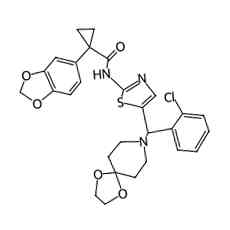 O=C(Nc1ncc(C(c2ccccc2Cl)N2CCC3(CC2)OCCO3)s1)C1(c2ccc3c(c2)OCO3)CC1